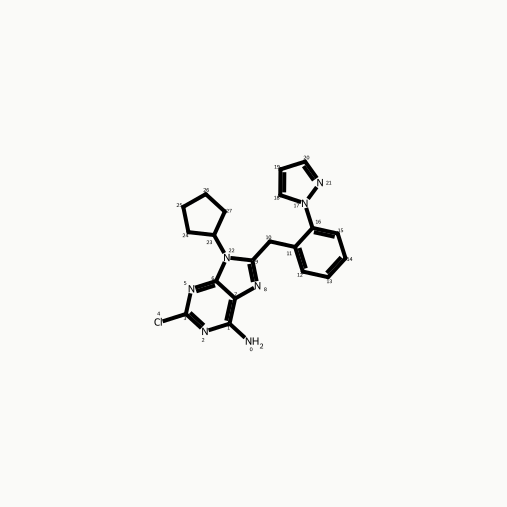 Nc1nc(Cl)nc2c1nc(Cc1ccccc1-n1cccn1)n2C1CCCC1